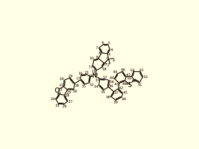 CC1(C)c2ccccc2-c2ccc(N(c3ccc(-c4ccc5oc6ccccc6c5c4)cc3)c3ccc(-c4ccccc4-c4cccc5c4sc4ccccc45)cc3)cc21